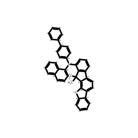 CC1(C)c2c(cccc2N(c2ccc(-c3ccccc3)cc2)c2cccc3ccccc23)-c2ccc3c(oc4ccccc43)c21